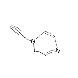 C#CN1C=CN=CC1